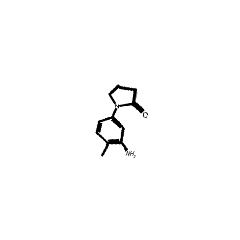 Cc1ccc(N2CCCC2=O)cc1N